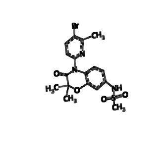 Cc1nc(N2C(=O)C(C)(C)Oc3cc(NS(C)(=O)=O)ccc32)ccc1Br